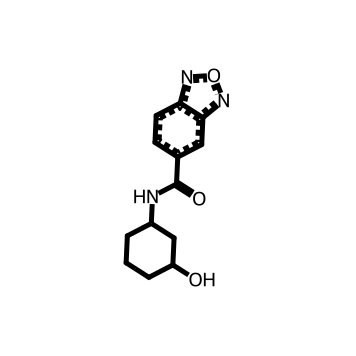 O=C(NC1CCCC(O)C1)c1ccc2nonc2c1